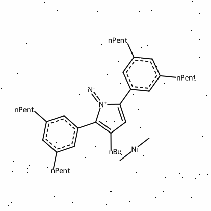 CCCCCc1cc(CCCCC)cc(C2=CC(CCCC)=C(c3cc(CCCCC)cc(CCCCC)c3)[N+]2=[N-])c1.[CH3][Ni][CH3]